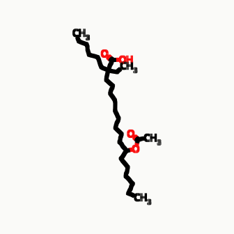 CCCCCCC(CCCCCCCCCC(CC)(CCCCCC)C(=O)O)OC(C)=O